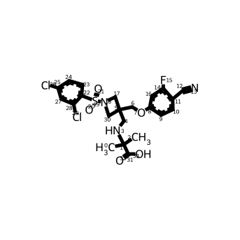 CC(C)(NCC1(COc2ccc(C#N)c(F)c2)CN(S(=O)(=O)c2ccc(Cl)cc2Cl)C1)C(=O)O